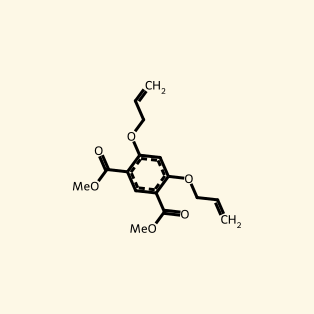 C=CCOc1cc(OCC=C)c(C(=O)OC)cc1C(=O)OC